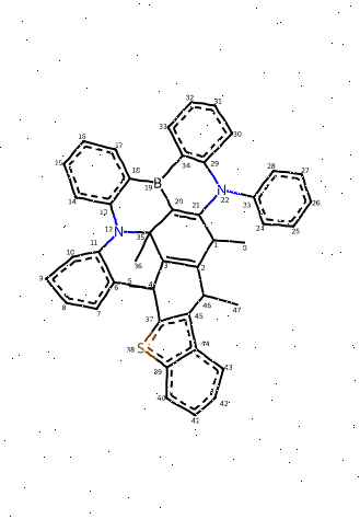 CC1C2=C3C(C)(c4ccccc4N4c5ccccc5B5C(=C1N(c1ccccc1)c1ccccc15)C34C)c1sc3ccccc3c1C2C